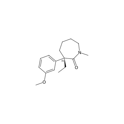 CC[C@@]1(c2cccc(OC)c2)CCCCN(C)C1=O